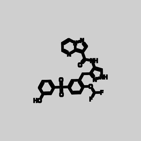 O=C(Nc1c[nH]nc1Cc1cc(S(=O)(=O)c2cccc(O)c2)ccc1OC(F)F)c1cnn2cccnc12